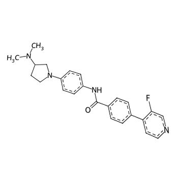 CN(C)C1CCN(c2ccc(NC(=O)c3ccc(-c4ccncc4F)cc3)cc2)C1